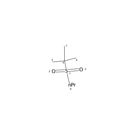 CCCS(=O)(=O)C(C)(C)C